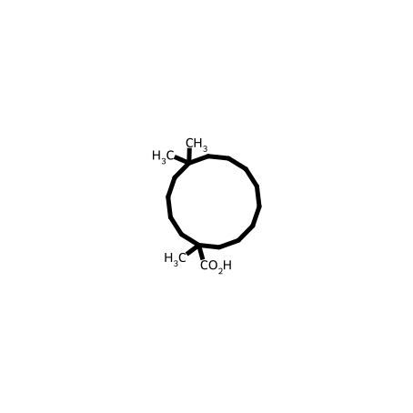 CC1(C)CCCCCCCCC(C)(C(=O)O)CCCC1